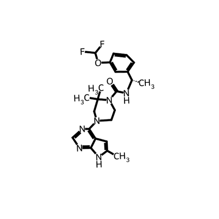 Cc1cc2c(N3CCN(C(=O)N[C@@H](C)c4cccc(OC(F)F)c4)C(C)(C)C3)ncnc2[nH]1